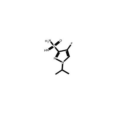 CC(C)n1cc(F)c(S(=N)(N)=O)n1